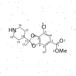 COC(=O)c1cc(Cl)c2c(c1C)OC(C)(C1CCNCC1)O2